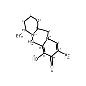 CC[C@@H]1CCOC2Cn3cc(C(C)=O)c(=O)c(O)c3NN21